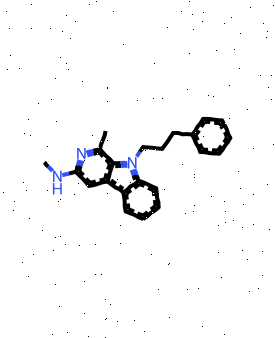 CNc1cc2c3ccccc3n(CCCc3ccccc3)c2c(C)n1